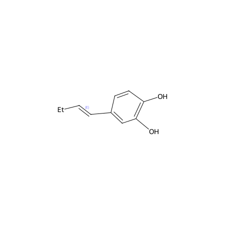 CC/C=C/c1ccc(O)c(O)c1